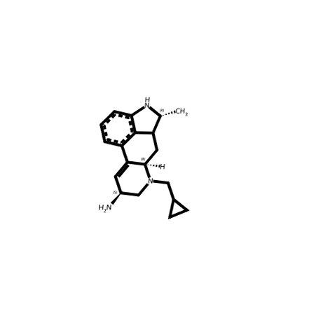 C[C@H]1Nc2cccc3c2C1C[C@@H]1C3=C[C@H](N)CN1CC1CC1